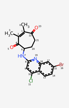 CC1=C(C)C(=O)C(Nc2cc(Cl)c3ccc(Br)cc3n2)CCC1=O